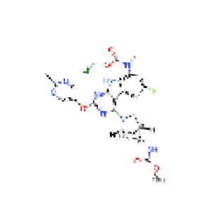 Cc1ncc(Oc2nc(N3C[C@H]4C[C@@H]3C[C@H]4NC(=O)OC(C)(C)C)c3c(n2)[nH]c2c(N(C)C(=O)OCCl)cc(F)cc23)cn1